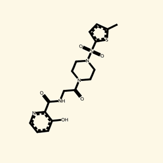 Cc1ccc(S(=O)(=O)N2CCN(C(=O)CNC(=O)c3ncccc3O)CC2)s1